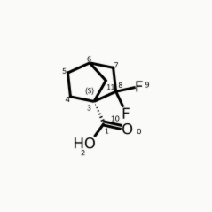 O=C(O)[C@@]12CCC(CC1(F)F)C2